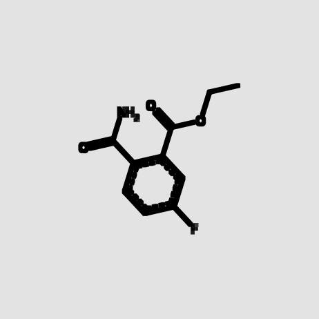 CCOC(=O)c1cc(F)ccc1C(N)=O